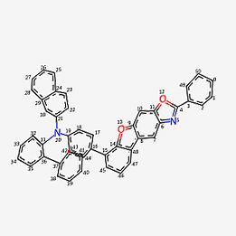 c1ccc(-c2nc3cc4c(cc3o2)oc2c(-c3ccc(N(c5ccc6ccccc6c5)c5ccccc5-c5ccccc5)cc3)cccc24)cc1